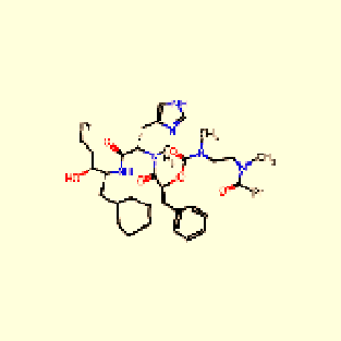 CC(C)CC[C@H](O)[C@H](CC1CCCCC1)NC(=O)[C@H](Cc1c[nH]cn1)N(C)C(=O)[C@H](Cc1ccccc1)OC(=O)N(C)CCN(C)C(=O)C(C)C